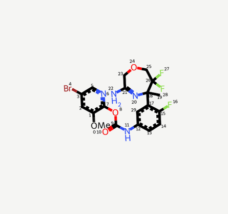 COc1cc(Br)cnc1OC(=O)Nc1ccc(F)c(C2(C)N=C(N)COCC2(F)F)c1